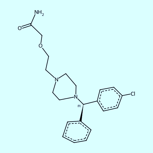 NC(=O)COCCN1CCN([C@H](c2ccccc2)c2ccc(Cl)cc2)CC1